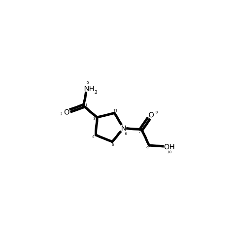 NC(=O)C1CCN(C(=O)CO)C1